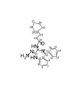 NN=C1Nc2ccccc2C(c2ccccc2)=NC1NC(=O)CCC1CCCCC1